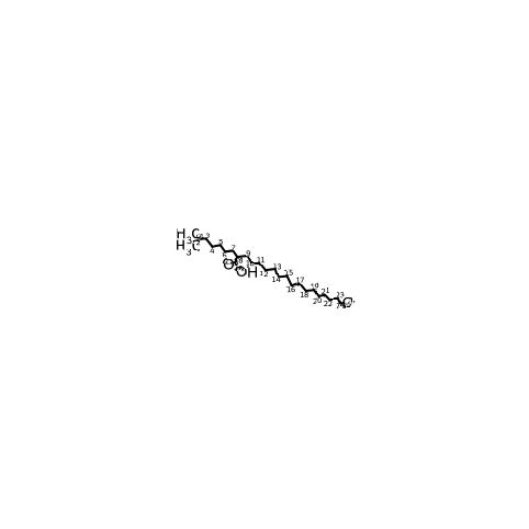 CC(C)CCCCCC(CCCCCCCCCCCCCCCC[O])C(=O)O